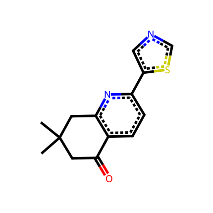 CC1(C)CC(=O)c2ccc(-c3cncs3)nc2C1